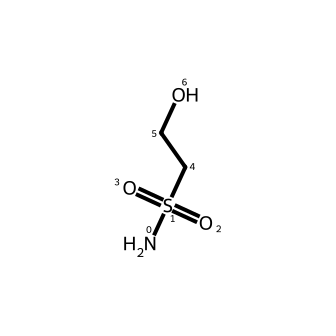 NS(=O)(=O)CCO